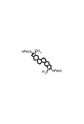 CCCCCc1cc2cc3ccc4c5cc6c(cc(CCCCC)n6C)cc5ccc4c3cc2n1C